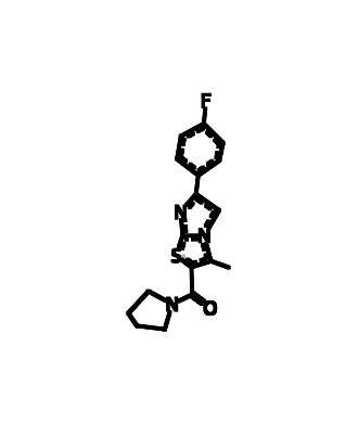 Cc1c(C(=O)N2CCCC2)sc2nc(-c3ccc(F)cc3)cn12